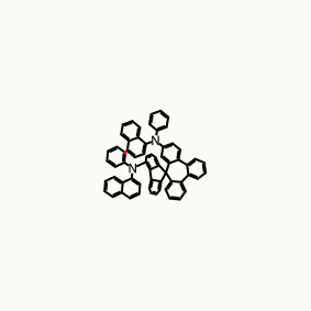 c1ccc(N(c2ccc3c(c2)C2(c4ccccc4-c4ccccc4-3)c3ccccc3-c3c(N(c4ccccc4)c4cccc5ccccc45)cccc32)c2cccc3ccccc23)cc1